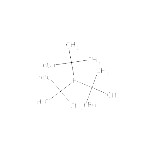 CCCCC(C)(C)P(C(C)(C)CCCC)C(C)(C)CCCC